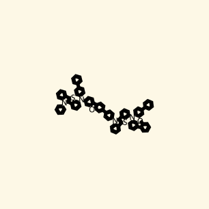 c1ccc(-c2ccc(N(c3ccc4c(c3)oc3cc(-c5ccc(-n6c7ccccc7c7sc8c(N(c9ccc(-c%10ccccc%10)cc9)c9cccc%10c9oc9ccccc9%10)cccc8c76)cc5)ccc34)c3cccc4c3sc3c5ccccc5n(-c5ccccc5)c43)cc2)cc1